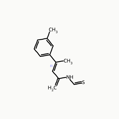 C=C(/C=C(\C)c1cccc(C)c1)NC=S